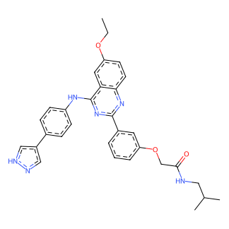 CCOc1ccc2nc(-c3cccc(OCC(=O)NCC(C)C)c3)nc(Nc3ccc(-c4cn[nH]c4)cc3)c2c1